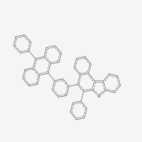 c1ccc(-c2c3ccccc3c(-c3cccc(-c4c(-c5ccccc5)c5oc6ccccc6c5c5ccccc45)c3)c3ccccc23)cc1